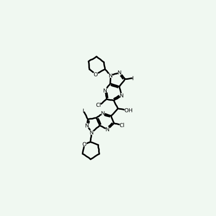 OC(c1nc2c(I)nn(C3CCCCO3)c2nc1Cl)c1nc2c(I)nn(C3CCCCO3)c2nc1Cl